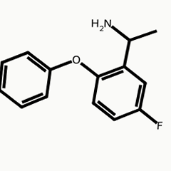 CC(N)c1cc(F)ccc1Oc1ccccc1